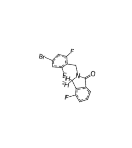 [2H]C1([2H])c2c(F)cccc2C(=O)N1Cc1c(F)cc(Br)cc1F